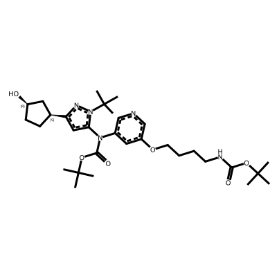 CC(C)(C)OC(=O)NCCCCOc1cncc(N(C(=O)OC(C)(C)C)c2cc([C@H]3CC[C@@H](O)C3)nn2C(C)(C)C)c1